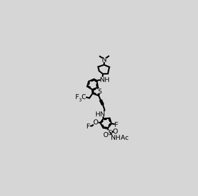 CC(=O)NS(=O)(=O)c1cc(OCF)c(NCC#Cc2sc3c(NC4CCC(N(C)C)CC4)cccc3c2CC(F)(F)F)cc1F